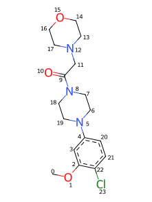 COc1cc(N2CCN(C(=O)CN3CCOCC3)CC2)ccc1Cl